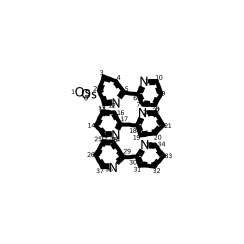 [Os].[Os].c1ccc(-c2ccccn2)nc1.c1ccc(-c2ccccn2)nc1.c1ccc(-c2ccccn2)nc1